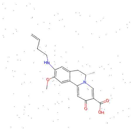 C=CCCNc1cc2c(cc1OC)-c1cc(=O)c(C(=O)O)cn1[C@@H](C)C2